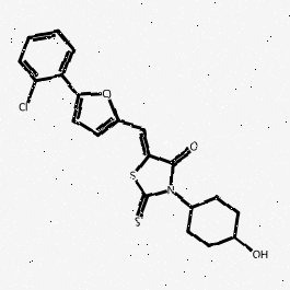 O=C1C(=Cc2ccc(-c3ccccc3Cl)o2)SC(=S)N1C1CCC(O)CC1